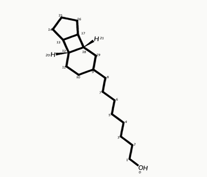 OCCCCCCCCC1CC[C@@H]2C3CCCC3[C@@H]2C1